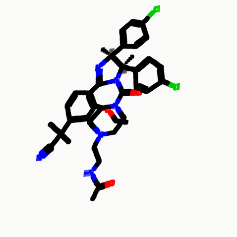 CCOc1cc(C(C)(C)C#N)ccc1C1=N[C@@](C)(c2ccc(Cl)cc2)[C@@](C)(c2ccc(Cl)cc2)N1C(=O)N1CCN(CCNC(C)=O)CC1